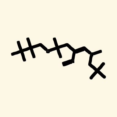 C=N/C(=C\N(C)CC(C)(C)C)CC(C)(C)OCC(C)(C)C(C)(C)C